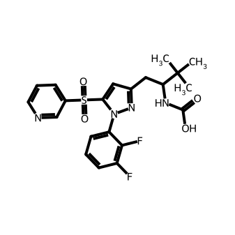 CC(C)(C)C(Cc1cc(S(=O)(=O)c2cccnc2)n(-c2cccc(F)c2F)n1)NC(=O)O